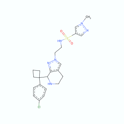 Cn1cc(S(=O)(=O)NCCn2cc3c(n2)C(C2(c4ccc(Cl)cc4)CCC2)NCC3)cn1